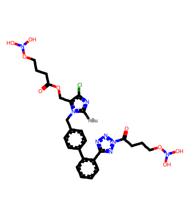 CCCCc1nc(Cl)c(COC(=O)CCCON(O)O)n1Cc1ccc(-c2ccccc2-c2nnn(C(=O)CCCON(O)O)n2)cc1